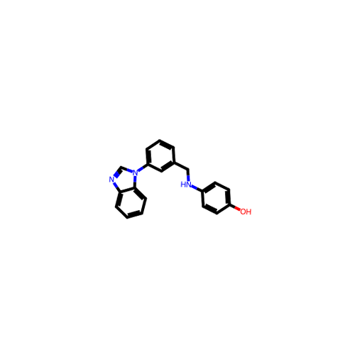 Oc1ccc(NCc2cccc(-n3cnc4ccccc43)c2)cc1